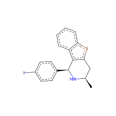 C[C@@H]1Cc2sc3ccccc3c2[C@H](c2ccc(I)cc2)N1